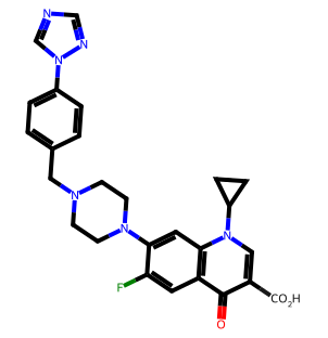 O=C(O)c1cn(C2CC2)c2cc(N3CCN(Cc4ccc(-n5cncn5)cc4)CC3)c(F)cc2c1=O